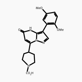 COc1ccc(OC)c(-c2cnn3c(C4CCN(C(=O)O)CC4)cc(=O)[nH]c23)c1